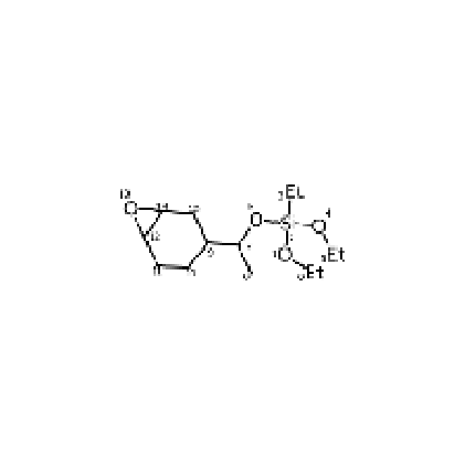 CCO[Si](CC)(OCC)OC(C)C1CCC2OC2C1